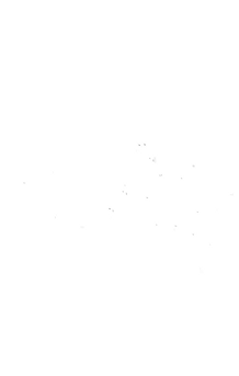 Cc1ccc(N=Nc2cc(S(=O)(=O)O)c3ccccc3c2N)cc1.[Na]